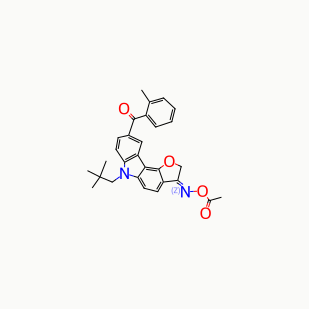 CC(=O)O/N=C1\COc2c1ccc1c2c2cc(C(=O)c3ccccc3C)ccc2n1CC(C)(C)C